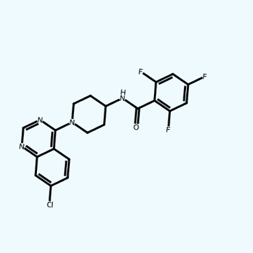 O=C(NC1CCN(c2ncnc3cc(Cl)ccc23)CC1)c1c(F)cc(F)cc1F